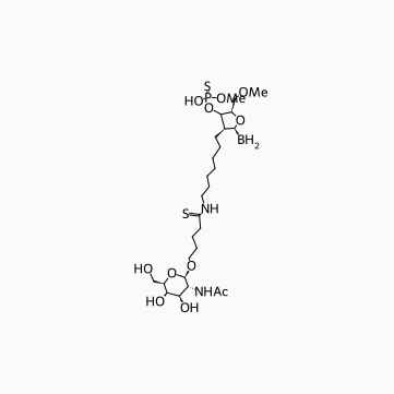 B[C@@H]1O[C@H](COC)C(OP(O)(=S)OC)[C@@H]1CCCCCCCNC(=S)CCCCO[C@@H]1O[C@H](CO)[C@H](O)[C@H](O)[C@H]1NC(C)=O